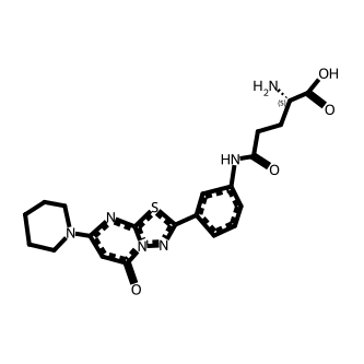 N[C@@H](CCC(=O)Nc1cccc(-c2nn3c(=O)cc(N4CCCCC4)nc3s2)c1)C(=O)O